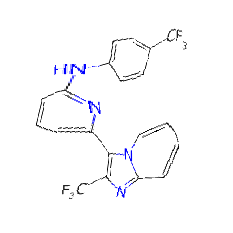 FC(F)(F)c1ccc(Nc2cccc(-c3c(C(F)(F)F)nc4ccccn34)n2)cc1